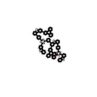 c1ccc(-c2nc(-c3ccc(-c4cccc5oc6c(-c7cccc(-c8nc(-c9ccc(-c%10cccc%11oc%12ccc(-c%13ccc%14c%15ccccc%15c%15ccccc%15c%14c%13)cc%12c%10%11)cc9)nc(-c9ccc%10sc%11ccccc%11c%10c9)n8)c7)cc(-c7ccc8c9ccccc9c9ccccc9c8c7)cc6c45)cc3)nc(-c3cccc4sc5ccccc5c34)n2)cc1